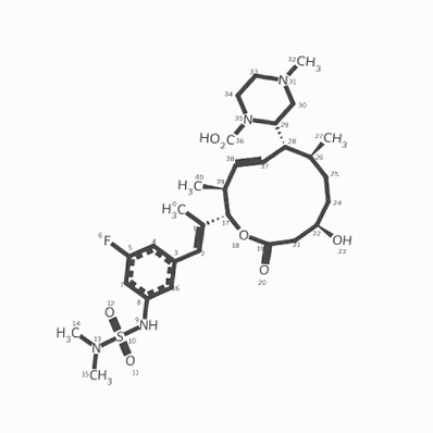 C/C(=C\c1cc(F)cc(NS(=O)(=O)N(C)C)c1)[C@H]1OC(=O)C[C@H](O)CC[C@H](C)[C@@H](C2CN(C)CCN2C(=O)O)/C=C/[C@@H]1C